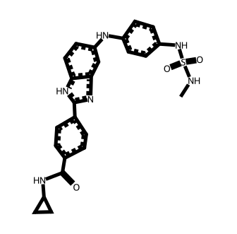 CNS(=O)(=O)Nc1ccc(Nc2ccc3[nH]c(-c4ccc(C(=O)NC5CC5)cc4)nc3c2)cc1